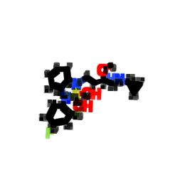 CO[C@H](CCN1c2ccccc2N(c2ccc(F)cc2F)S1(O)O)CNC1CC1